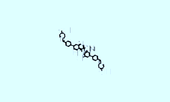 Cc1cc(-c2ccc(CN3CCC(O)CC3)cc2)cc(Cl)c1Nc1c(C#N)cnc2cc(-c3ccc(CN4CCC(O)CC4)cc3)ccc12